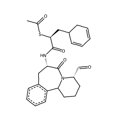 CC(=O)S[C@@H](CC1C=CC=CC1)C(=O)N[C@H]1Cc2ccccc2C2CCC[C@@H](C=O)N2C1=O